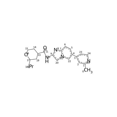 Cc1cc(-c2ccc3nc(NC(=O)C4CCOC(C(C)C)C4)cn3c2)ccn1